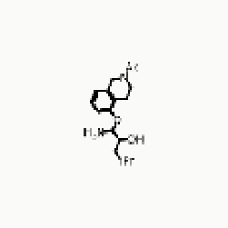 CC(=O)N1CCc2c(cccc2OC(N)C(O)CC(C)C)C1